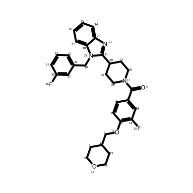 O=C(c1ccc(OCC2CCOCC2)c(F)c1)N1CCC(c2nc3ccccc3n2Cc2cccc(F)c2)CC1